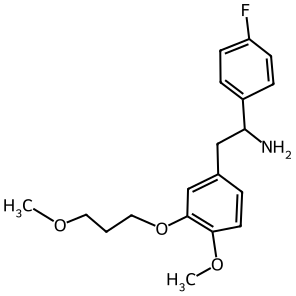 COCCCOc1cc(CC(N)c2ccc(F)cc2)ccc1OC